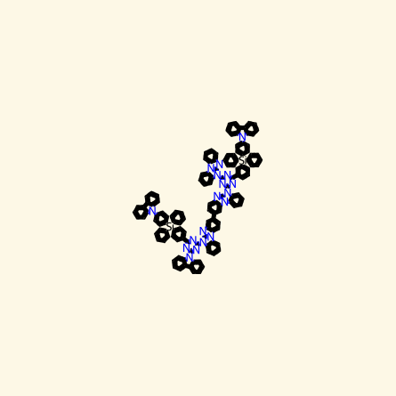 c1ccc([Si](c2ccccc2)(c2ccc(-c3nc(-n4c5ccccc5c5ccccc54)nc(-n4c5ccccc5n5c6ccc(-c7ccc8nc9n(-c%10nc(-c%11cccc([Si](c%12ccccc%12)(c%12ccccc%12)c%12ccc(-n%13c%14ccccc%14c%14ccccc%14%13)cc%12)c%11)nc(-n%11c%12ccccc%12n%12c%13ccccc%13nc%11%12)n%10)c%10ccccc%10n9c8c7)cc6nc45)n3)cc2)c2ccc(-n3c4ccccc4c4ccccc43)cc2)cc1